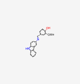 COc1cc(/C=N/c2ccc3[nH]c4ccccc4c3c2)ccc1O